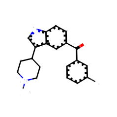 CCCc1cccc(C(=O)c2ccc3[nH]cc(C4CCN(C(C)CCC)CC4)c3c2)c1